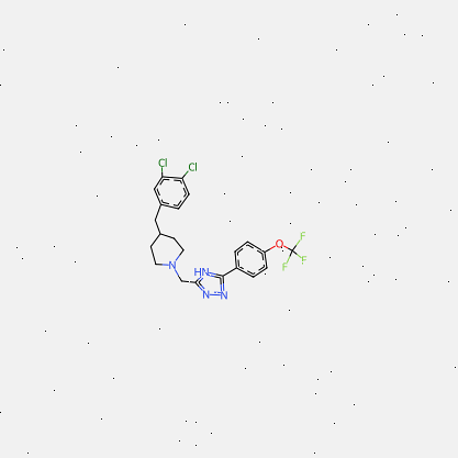 FC(F)(F)Oc1ccc(-c2nnc(CN3CCC(Cc4ccc(Cl)c(Cl)c4)CC3)[nH]2)cc1